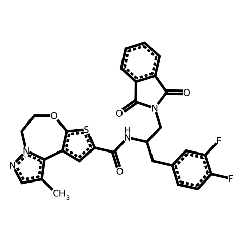 Cc1cnn2c1-c1cc(C(=O)NC(Cc3ccc(F)c(F)c3)CN3C(=O)c4ccccc4C3=O)sc1OCC2